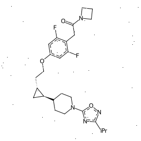 CC(C)c1noc(N2CCC([C@H]3C[C@@H]3CCOc3cc(F)c(CC(=O)N4CCC4)c(F)c3)CC2)n1